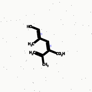 C=C(C)/C(=C\C(C)=C\O)C(=O)O